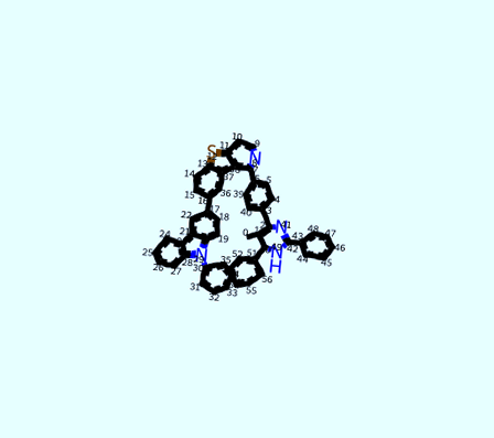 CC1=C(c2ccc(-c3nccc4sc5ccc(-c6ccc7c(c6)c6ccccc6n7-c6ccccc6)cc5c34)cc2)N=C(c2ccccc2)NC1c1ccccc1